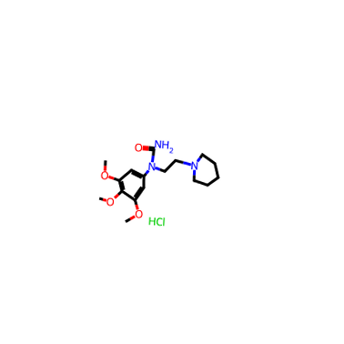 COc1cc(N(CCN2CCCCC2)C(N)=O)cc(OC)c1OC.Cl